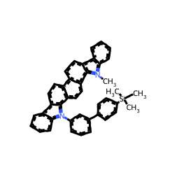 Cn1c2ccccc2c2ccc3c4ccc5c6ccccc6n(-c6cccc(-c7ccc([Si](C)(C)C)cc7)c6)c5c4ccc3c21